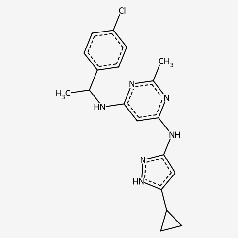 Cc1nc(Nc2cc(C3CC3)[nH]n2)cc(NC(C)c2ccc(Cl)cc2)n1